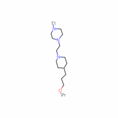 CCN1CCN(CCN2CCC(CCCOC(C)C)CC2)CC1